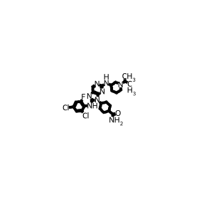 CC(C)N1CCCC(Nc2ncc3nc(Nc4c(F)cc(Cl)cc4Cl)n(C4CCC(C(N)=O)CC4)c3n2)C1